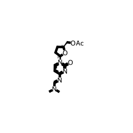 CC(=O)OC[C@@H]1CC[C@H](n2ccc(N=CN(C)C)nc2=O)O1